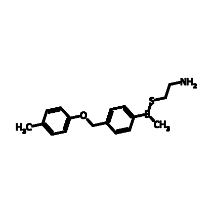 CB(SCCN)c1ccc(COc2ccc(C)cc2)cc1